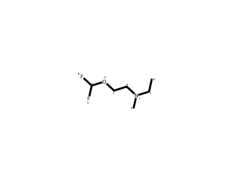 CCN(C)CCOC(F)F